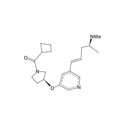 CN[C@@H](C)C/C=C/c1cncc(O[C@H]2CCN(C(=O)C3CCC3)C2)c1